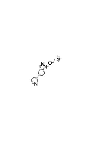 C[Si](C)(C)CCOCn1ncc2cc(-c3cccnc3)ccc21